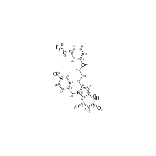 O=c1[nH]c(=O)c2c(nc(CCCOc3cccc(OC(F)(F)F)c3)n2Cc2ccc(Cl)cc2)[nH]1